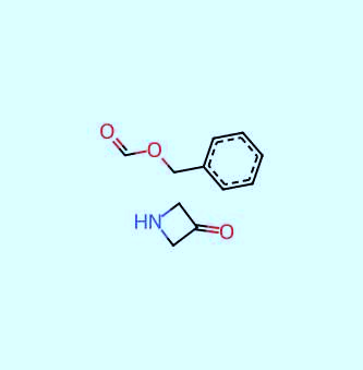 O=C1CNC1.O=COCc1ccccc1